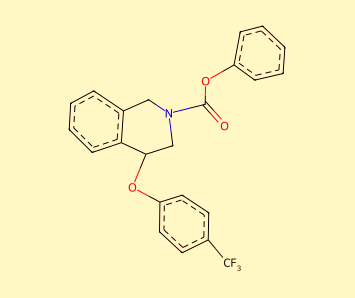 O=C(Oc1ccccc1)N1Cc2ccccc2C(Oc2ccc(C(F)(F)F)cc2)C1